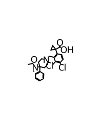 CC(=O)N(C)C1(c2ccccc2)CCN(Cc2c(C3(C(=O)O)CC3)ccc(Cl)c2Cl)CC1